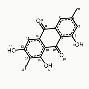 Cc1cc(O)c2c(c1)C(=O)c1cc(O)c(I)c(O)c1C2=O